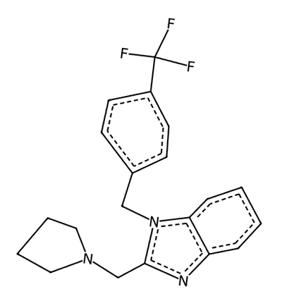 FC(F)(F)c1ccc(Cn2c(CN3CCCC3)nc3ccccc32)cc1